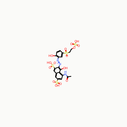 CC(=O)Nc1cc(S(=O)(=O)O)cc2cc(S(=O)(=O)O)c(/N=N/c3cc(S(=O)(=O)CCOS(=O)(=O)O)ccc3O)c(O)c12